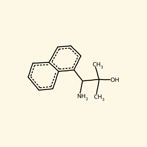 CC(C)(O)C(N)c1cccc2ccccc12